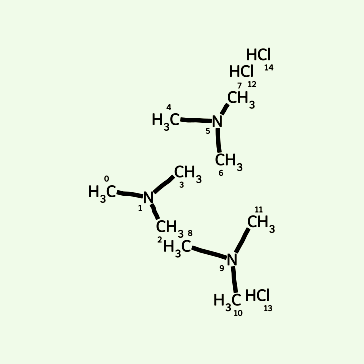 CN(C)C.CN(C)C.CN(C)C.Cl.Cl.Cl